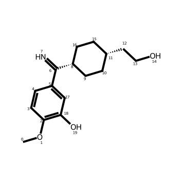 COc1ccc(C(=N)[C@H]2CC[C@@H](CCO)CC2)cc1O